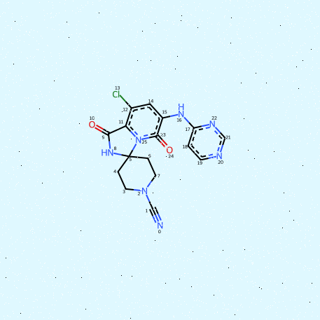 N#CN1CCC2(CC1)NC(=O)c1c(Cl)cc(Nc3ccncn3)c(=O)n12